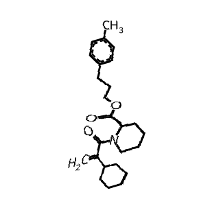 C=C(C(=O)N1CCCCC1C(=O)OCCCc1ccc(C)cc1)C1CCCCC1